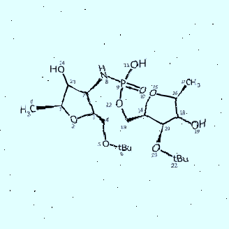 C[C@@H]1O[C@H](COC(C)(C)C)[C@H](NP(=O)(O)OC[C@H]2O[C@@H](C)C(O)[C@H]2OC(C)(C)C)C1O